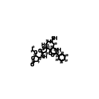 CCOC1OC(=O)CC1NC(=O)CC1(S)CCN(S)CC(NC(=O)c2ccccc2)C1=O